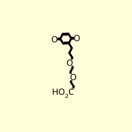 O=C1C=CC(=O)C(CCCOCCOCCC(=O)O)=C1